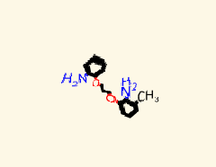 Cc1cccc(OCCCOc2ccccc2N)c1N